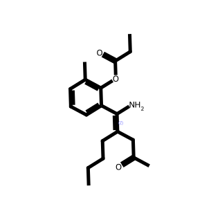 CCCC/C(CC(C)=O)=C(/N)c1cccc(C)c1OC(=O)CC